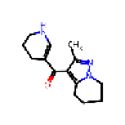 Cc1nn2c(c1C(=O)C1=CNCCC1)CCCC2